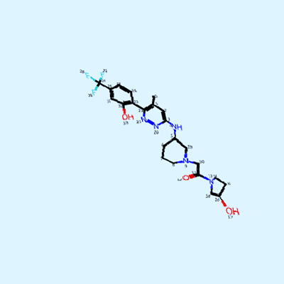 Cc1cc(N[C@@H]2CCCN(CC(=O)N3CC[C@@H](O)C3)C2)nnc1-c1ccc(C(F)(F)F)cc1O